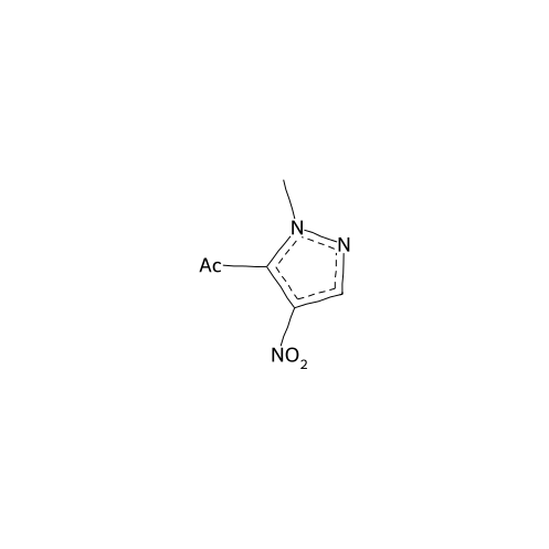 CC(=O)c1c([N+](=O)[O-])cnn1C